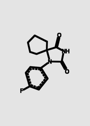 O=C1NC(=O)C2(CCCCC2)N1c1ccc(F)cc1